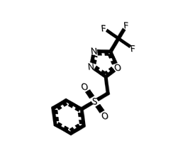 O=S(=O)(Cc1nnc(C(F)(F)F)o1)c1ccccc1